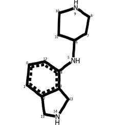 c1cc2c(c(NC3CCNCC3)c1)CNC2